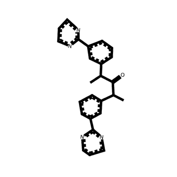 CC(C(=O)C(C)c1cccc(-c2ncccn2)c1)c1cccc(-c2ncccn2)c1